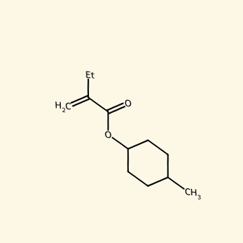 C=C(CC)C(=O)OC1CCC(C)CC1